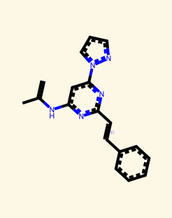 C=C(C)Nc1cc(-n2cccn2)nc(/C=C/c2ccccc2)n1